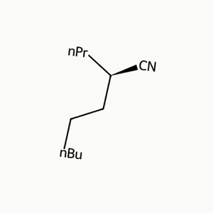 CCCCCC[C@H](C#N)CCC